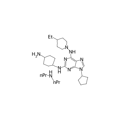 CCC1CCN(Nc2nc(NC3CCC(N)CC3)nc3c2ncn3C2CCCC2)CC1.CCCNCCC